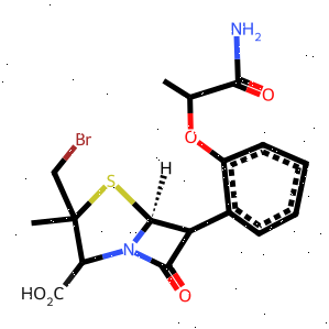 CC(Oc1ccccc1C1C(=O)N2C(C(=O)O)C(C)(CBr)S[C@@H]12)C(N)=O